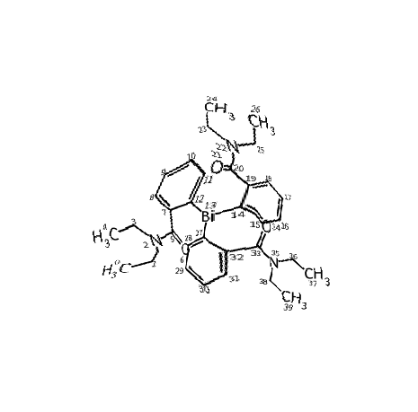 CCN(CC)C(=O)c1cccc[c]1[Bi]([c]1ccccc1C(=O)N(CC)CC)[c]1ccccc1C(=O)N(CC)CC